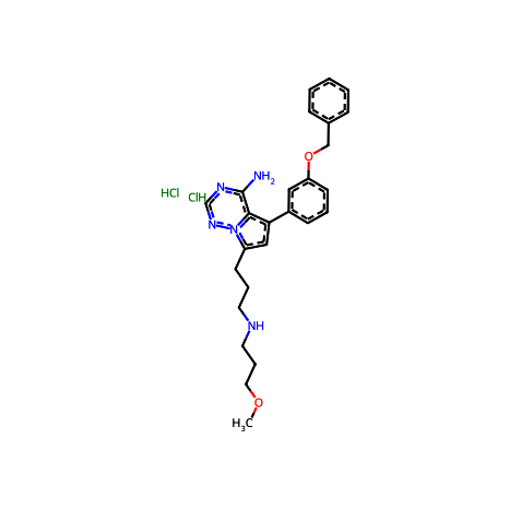 COCCCNCCCc1cc(-c2cccc(OCc3ccccc3)c2)c2c(N)ncnn12.Cl.Cl